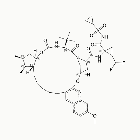 COc1ccc2cc3c(nc2c1)O[C@@H]1C[C@@H](C(=O)N[C@]2(C(=O)NS(=O)(=O)C4CC4)CC2C(F)F)N(C1)C(=O)[C@H](C(C)(C)C)NC(=O)O[C@@H]1C[C@H](C)[C@H](C)[C@H]1CCCCC3